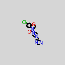 CC1(CN2CCN(C(=O)N3CCOc4cc(Cl)ccc43)CC2)CN=CC=N1